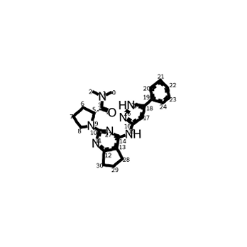 CN(C)C(=O)[C@H]1CCCN1c1nc2c(c(Nc3cc(-c4ccccc4)[nH]n3)n1)CCC2